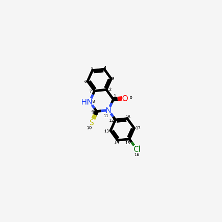 O=c1c2ccccc2[nH]c(=S)n1-c1ccc(Cl)cc1